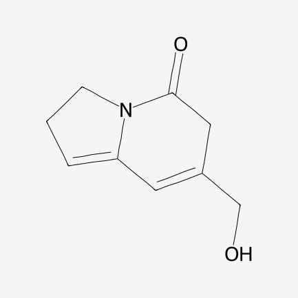 O=C1CC(CO)=CC2=CCCN12